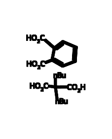 CCCCC(CCCC)(C(=O)O)C(=O)O.O=C(O)c1ccccc1C(=O)O